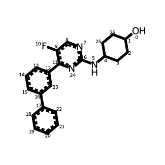 OC1CCC(Nc2ncc(F)c(-c3cccc(-c4ccccc4)c3)n2)CC1